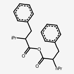 CCCC(Cc1ccccc1)C(=O)OC(=O)C(Cc1ccccc1)C(C)C